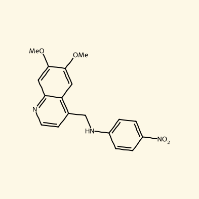 COc1cc2nccc(CNc3ccc([N+](=O)[O-])cc3)c2cc1OC